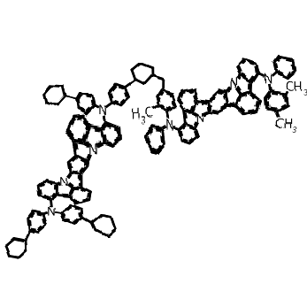 Cc1ccc(N(c2ccccc2)c2cccc3c2c2cccc4c5cc6c(cc5n3c42)c2cccc3c4c(N(c5ccccc5)c5ccc(CC7CCCC(c8ccc(N(c9ccc(C%10CCCCC%10)cc9)c9cccc%10c9c9cccc%11c%12cc%13c(cc%12n%10c%119)c9cccc%10c%11c(N(c%12ccc(C%14CCCCC%14)cc%12)c%12ccc(C%14CCCCC%14)cc%12)cccc%11n%13c9%10)cc8)C7)cc5C)cccc4n6c23)c(C)c1